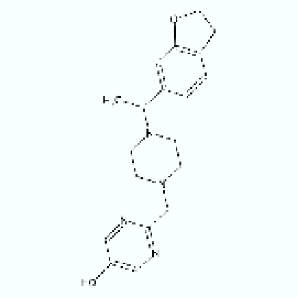 CC(c1ccc2c(c1)OCC2)N1CCN(Cc2ncc(O)cn2)CC1